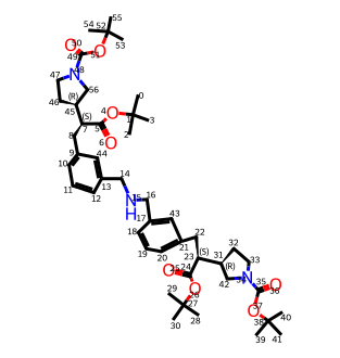 CC(C)(C)OC(=O)[C@@H](Cc1cccc(CNCc2cccc(C[C@H](C(=O)OC(C)(C)C)[C@H]3CCN(C(=O)OC(C)(C)C)C3)c2)c1)[C@H]1CCN(C(=O)OC(C)(C)C)C1